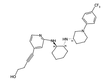 OCCC#Cc1ccnc(N[C@@H]2CCCC[C@H]2N[C@H]2CCCN(c3ccc(C(F)(F)F)cc3)C2)c1